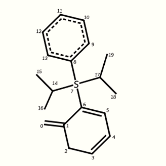 C=C1CC=CC=C1S(c1ccccc1)(C(C)C)C(C)C